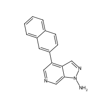 Nn1ncc2c(-c3ccc4ccccc4c3)cncc21